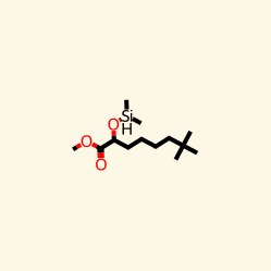 COC(=O)C(CCCCC(C)(C)C)O[SiH](C)C